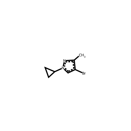 Cc1nn(C2CC2)cc1Br